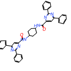 O=C(NC1CCC(NC(=O)c2cc(-c3ccccc3)nc(-c3ccccc3)n2)CC1)c1cc(-c2ccccc2)nc(-c2ccccc2)n1